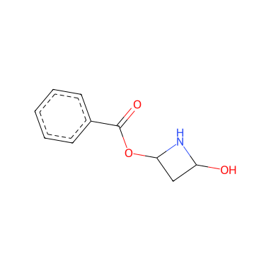 O=C(OC1CC(O)N1)c1ccccc1